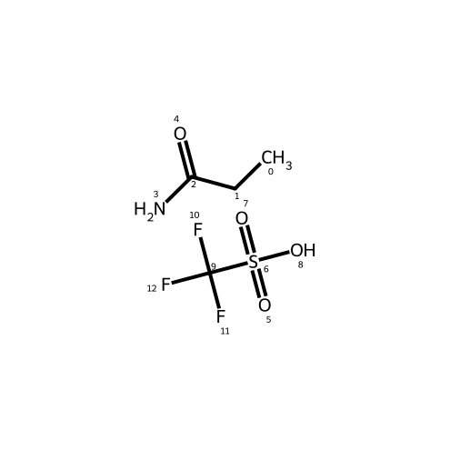 CCC(N)=O.O=S(=O)(O)C(F)(F)F